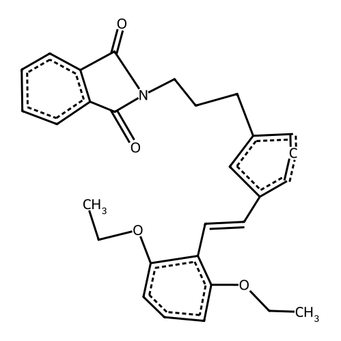 CCOc1cccc(OCC)c1C=Cc1cccc(CCCN2C(=O)c3ccccc3C2=O)c1